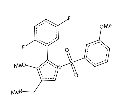 CNCc1cn(S(=O)(=O)c2cccc(OC)c2)c(-c2cc(F)ccc2F)c1OC